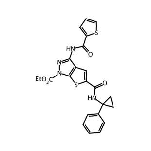 CCOC(=O)n1nc(NC(=O)c2cccs2)c2cc(C(=O)NC3(c4ccccc4)CC3)sc21